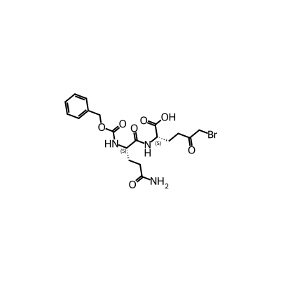 NC(=O)CC[C@H](NC(=O)OCc1ccccc1)C(=O)N[C@@H](CCC(=O)CBr)C(=O)O